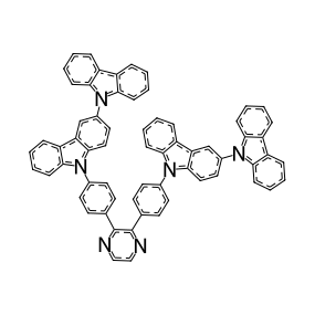 c1ccc2c(c1)c1ccccc1n2-c1ccc2c(c1)c1ccccc1n2-c1ccc(-c2nccnc2-c2ccc(-n3c4ccccc4c4cc(-n5c6ccccc6c6ccccc65)ccc43)cc2)cc1